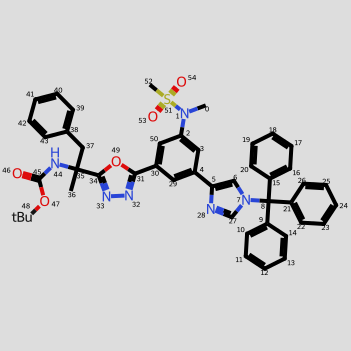 CN(c1cc(-c2cn(C(c3ccccc3)(c3ccccc3)c3ccccc3)cn2)cc(-c2nnc(C(C)(Cc3ccccc3)NC(=O)OC(C)(C)C)o2)c1)S(C)(=O)=O